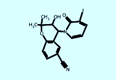 CC1(C)Oc2ccc(C#N)cc2C(n2cccc(I)c2=O)C1O